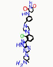 CC1(N)CCN(c2cnc3c(-c4cccc(N5CCN(Cc6cccc(NC7CCC(=O)NC7=O)c6)CC5)c4Cl)n[nH]c3n2)CC1